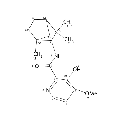 COc1ccnc(C(=O)NC2C3(C)CCC(C3)C2(C)C)c1O